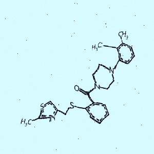 Cc1nc(CSc2ccccc2C(=O)N2CCN(c3cccc(C)c3C)CC2)cs1